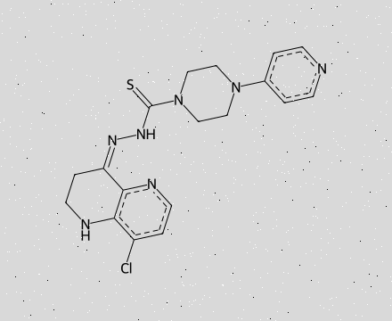 S=C(N/N=C1/CCNc2c(Cl)ccnc21)N1CCN(c2ccncc2)CC1